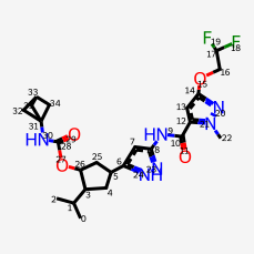 CC(C)C1CC(c2cc(NC(=O)c3cc(OCC(F)F)nn3C)n[nH]2)CC1OC(=O)NC12CC(C1)C2